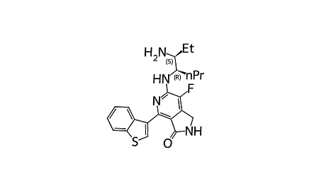 CCC[C@@H](Nc1nc(-c2csc3ccccc23)c2c(c1F)CNC2=O)[C@@H](N)CC